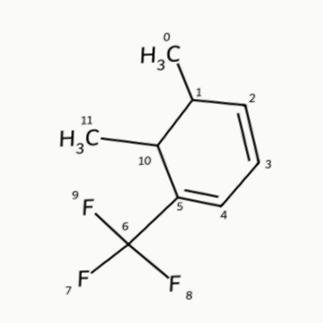 CC1C=CC=C(C(F)(F)F)C1C